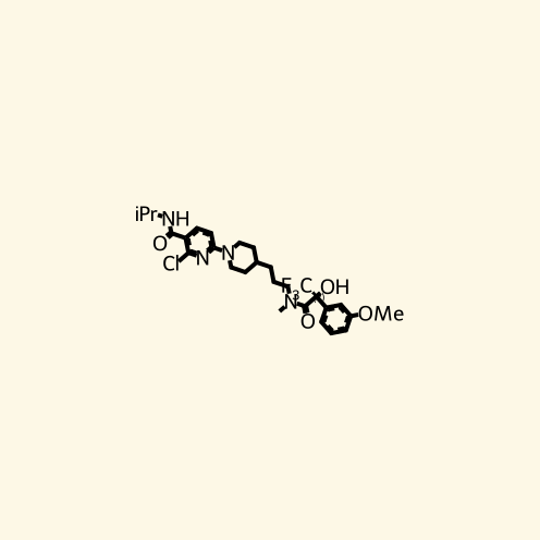 COc1cccc([C@@](O)(C(=O)N(C)CCCC2CCN(c3ccc(C(=O)NC(C)C)c(Cl)n3)CC2)C(F)(F)F)c1